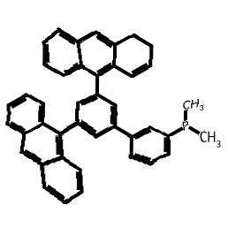 CP(C)c1cccc(-c2cc(-c3c4c(cc5ccccc35)CCC=C4)cc(-c3c4ccccc4cc4ccccc34)c2)c1